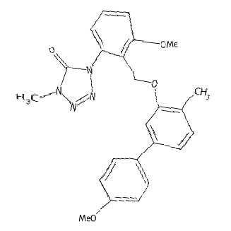 COc1ccc(-c2ccc(C)c(OCc3c(OC)cccc3-n3nnn(C)c3=O)c2)cc1